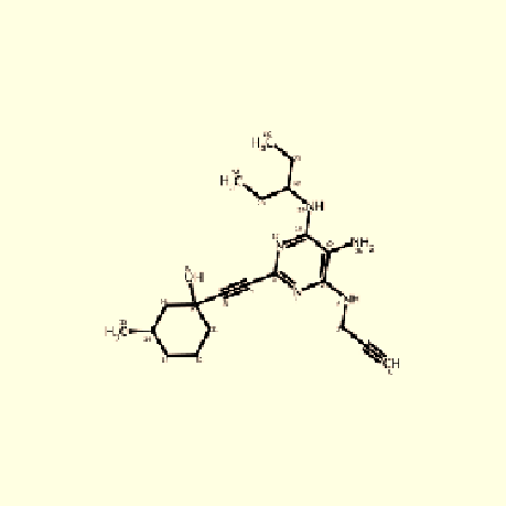 C#CCNc1nc(C#C[C@]2(O)CCC[C@@H](C)C2)nc(NC(CC)CC)c1N